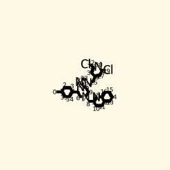 Cc1ccc(CCN(Cc2ccc3ccccc3n2)Cc2nncn2Cc2cc(Cl)nc(Cl)c2)cc1